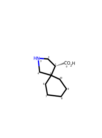 O=C(O)[C@H]1CNCC12CCCCC2